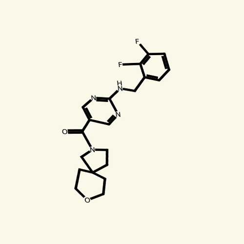 O=C(c1cnc(NCc2cccc(F)c2F)nc1)N1CCC2(CCOCC2)C1